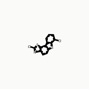 Clc1nc2ccc3sc4c(Cl)cccc4c3c2s1